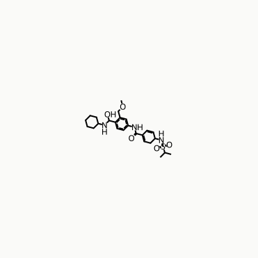 COCc1cc(NC(=O)C2=CCC(NS(=O)(=O)C(C)C)C=C2)ccc1C(O)NC1CCCCC1